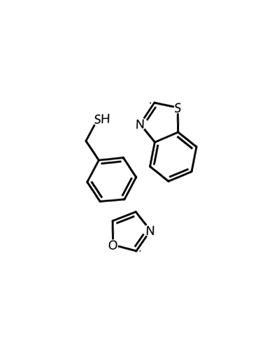 SCc1ccccc1.[c]1nc2ccccc2s1.[c]1ncco1